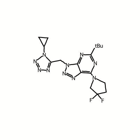 CC(C)(C)c1nc(N2CCC(F)(F)C2)c2nnn(Cc3nnnn3C3CC3)c2n1